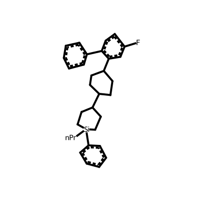 CCC[Si]1(c2ccccc2)CCC(C2CCC(c3cc(F)ccc3-c3ccccc3)CC2)CC1